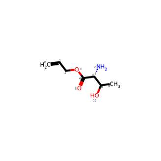 C=CCOC(=O)[C@H](N)C(C)O